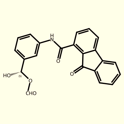 O=CO[C@H](O)c1cccc(NC(=O)c2cccc3c2C(=O)c2ccccc2-3)c1